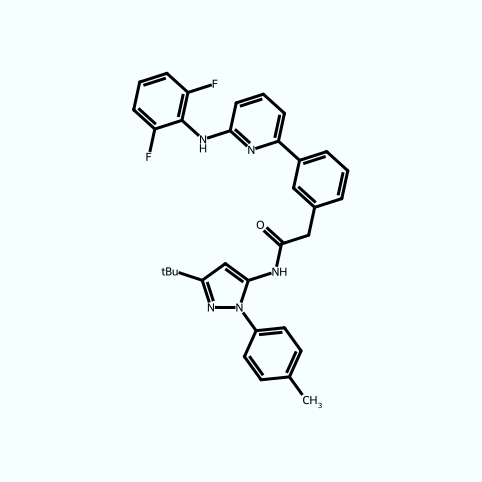 Cc1ccc(-n2nc(C(C)(C)C)cc2NC(=O)Cc2cccc(-c3cccc(Nc4c(F)cccc4F)n3)c2)cc1